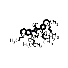 CCCCN1c2cc(NC(=O)CC(C)C)c(C3=C([O-])/C(=c4\cc5c(cc4NC(=O)CC(C)C)=[N+](CCCC)CCC5)C3=O)cc2CCC1C